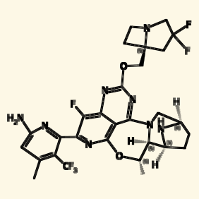 Cc1cc(N)nc(-c2nc3c4c(nc(OC[C@@]56CCN5CC(F)(F)C6)nc4c2F)N2C[C@H]4CC[C@H](N4)[C@H]2[C@H](C)O3)c1C(F)(F)F